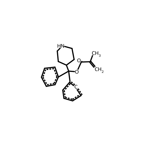 C=C(C)C(=O)OC(c1ccccc1)(c1ccccc1)C1CCNCC1